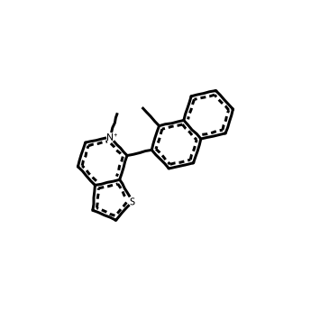 Cc1c(-c2c3sccc3cc[n+]2C)ccc2ccccc12